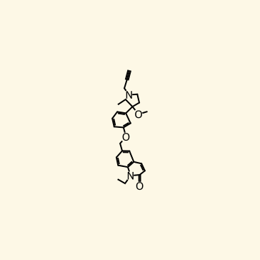 C#CCN1CCC(OC)(c2cccc(OCc3ccc4c(ccc(=O)n4CC)c3)c2)C1C